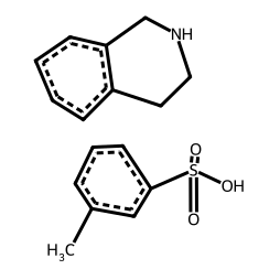 Cc1cccc(S(=O)(=O)O)c1.c1ccc2c(c1)CCNC2